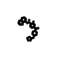 Cc1cc(C(=O)N2CCN(CC3CCOC3)CC2)ccc1NSc1cccc2cccnc12